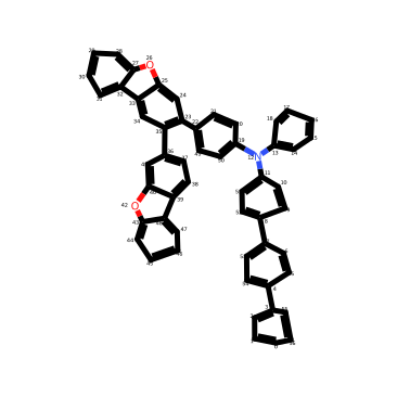 c1ccc(-c2ccc(-c3ccc(N(c4ccccc4)c4ccc(-c5cc6oc7ccccc7c6cc5-c5ccc6c(c5)oc5ccccc56)cc4)cc3)cc2)cc1